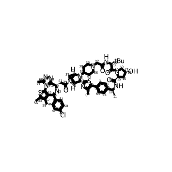 Cc1ncsc1-c1ccc([C@H](C)NC(=O)[C@@H]2C[C@@H](O)CN2C(=O)[C@@H](NC(=O)CN2CCC(N3C[C@@H]4C[C@H]3CN4C(=O)C[C@@H]3N=C(c4ccc(Cl)cc4)c4c(sc(C)c4C)-n4c(C)nnc43)CC2)C(C)(C)C)cc1